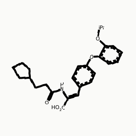 CC(C)Oc1ccccc1Oc1ccc(C=C(NC(=O)CCC2CCCC2)C(=O)O)cc1